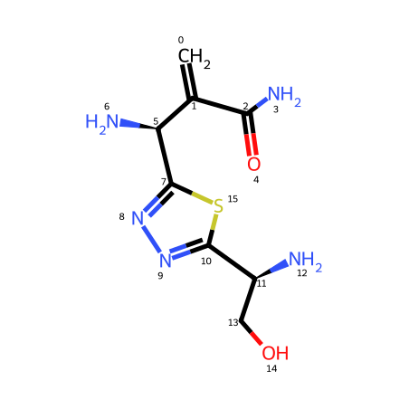 C=C(C(N)=O)[C@H](N)c1nnc([C@@H](N)CO)s1